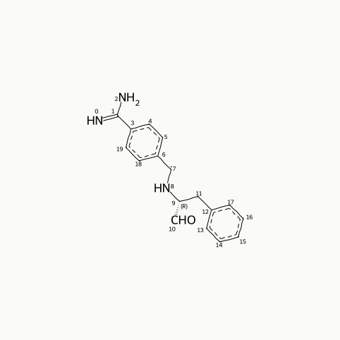 N=C(N)c1ccc([CH]N[C@@H](C=O)Cc2ccccc2)cc1